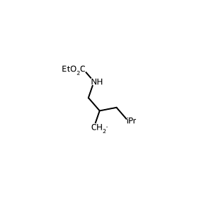 [CH2]C(CNC(=O)OCC)CC(C)C